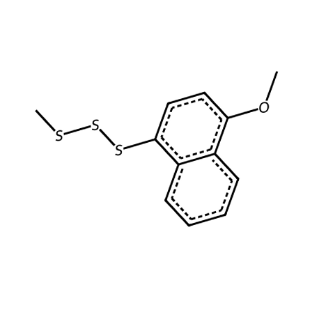 COc1ccc(SSSC)c2ccccc12